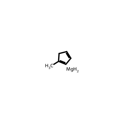 CC1=CC=CC1.[MgH2]